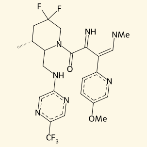 CN/C=C(\C(=N)C(=O)N1CC(F)(F)C[C@@H](C)C1CNc1cnc(C(F)(F)F)cn1)c1ccc(OC)cn1